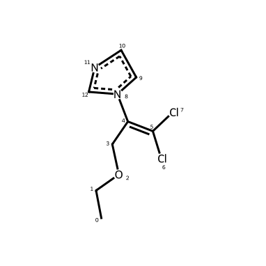 CCOCC(=C(Cl)Cl)n1ccnc1